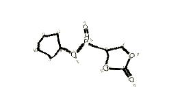 O=C1OCC([PH](=O)OC2CCCC2)O1